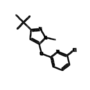 Cn1nc(C(C)(C)C)cc1Oc1cccc(Cl)n1